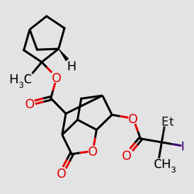 CCC(C)(I)C(=O)OC1C2CC3C1OC(=O)C3C2C(=O)OC1(C)CC2CC[C@H]1C2